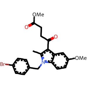 COC(=O)CCC(=O)c1c(C)n(Cc2ccc(Br)cc2)c2ccc(OC)cc12